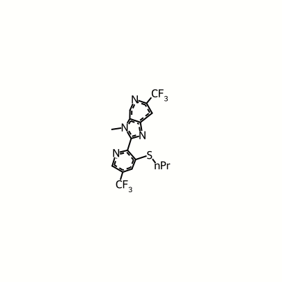 CCCSc1cc(C(F)(F)F)cnc1-c1nc2cc(C(F)(F)F)ncc2n1C